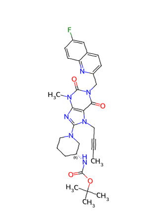 CC#CCn1c(N2CCC[C@@H](NC(=O)OC(C)(C)C)C2)nc2c1c(=O)n(Cc1ccc3cc(F)ccc3n1)c(=O)n2C